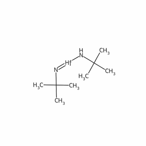 CC(C)(C)/[N]=[Hf]/[NH]C(C)(C)C